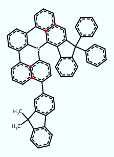 CC1(C)c2ccccc2-c2ccc(-c3ccc(N(c4cccc5c4-c4ccccc4C5(c4ccccc4)c4ccccc4)c4c(-c5ccccc5)cccc4-c4ccccc4)cc3)cc21